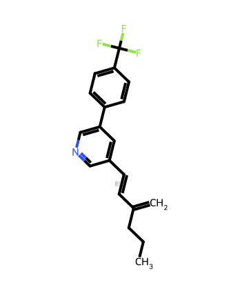 C=C(/C=C/c1cncc(-c2ccc(C(F)(F)F)cc2)c1)CCC